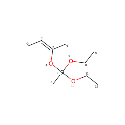 CC=C(C)O[Si](C)(OCC)OCC